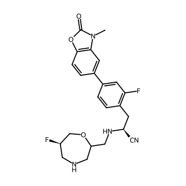 Cn1c(=O)oc2ccc(-c3ccc(C[C@@H](C#N)NCC4CNC[C@@H](F)CO4)c(F)c3)cc21